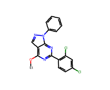 CCOc1nc(-c2ccc(Cl)cc2Cl)nc2c1cnn2-c1ccccc1